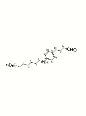 CCCCCCCCCCCCCCCCNc1ccc(CCCC=O)cc1